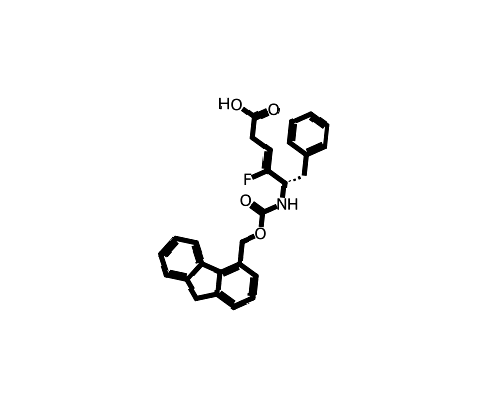 O=C(O)C/C=C(\F)[C@H](Cc1ccccc1)NC(=O)OCc1cccc2c1-c1ccccc1C2